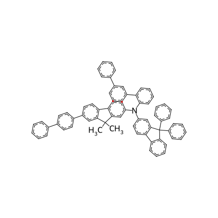 CC1(C)c2cc(-c3ccc(-c4ccccc4)cc3)ccc2-c2ccc(N(c3ccc4c(c3)C(c3ccccc3)(c3ccccc3)c3ccccc3-4)c3ccccc3-c3cccc(-c4ccccc4)c3)cc21